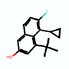 CC(C)(C)c1cc(O)cc2ccc(F)c(C3CC3)c12